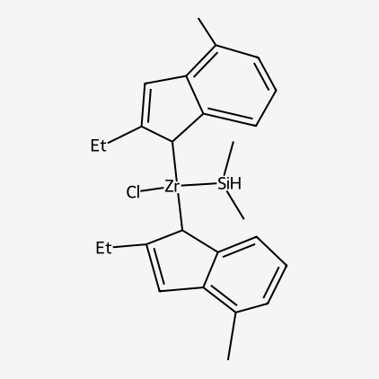 CCC1=Cc2c(C)cccc2[CH]1[Zr]([Cl])([CH]1C(CC)=Cc2c(C)cccc21)[SiH](C)C